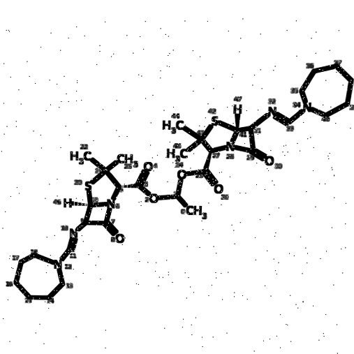 CC(OC(=O)[C@@H]1N2C(=O)C(/N=C/N3CCCCCC3)[C@H]2SC1(C)C)OC(=O)[C@@H]1N2C(=O)C(/N=C/N3CCCCCC3)[C@H]2SC1(C)C